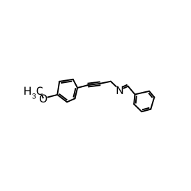 COc1ccc(C#CCN=Cc2ccccc2)cc1